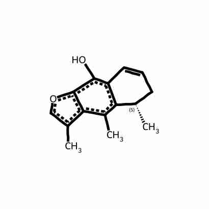 Cc1coc2c(O)c3c(c(C)c12)[C@@H](C)CC=C3